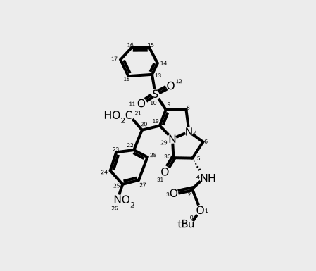 CC(C)(C)OC(=O)N[C@H]1CN2CC(S(=O)(=O)c3ccccc3)=C(C(C(=O)O)c3ccc([N+](=O)[O-])cc3)N2C1=O